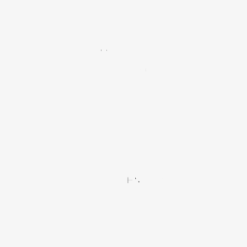 CCCNCCC(C#CC(=O)O)C(C)C